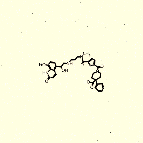 CN(CCCNCC(O)c1ccc(O)c2[nH]c(=O)ccc12)C(=O)c1ccc(C(=O)N2CCC(C(=O)O)(c3ccccc3)CC2)s1